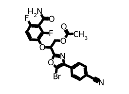 CC(=O)OCC(Oc1ccc(F)c(C(N)=O)c1F)c1nc(-c2ccc(C#N)cc2)c(Br)o1